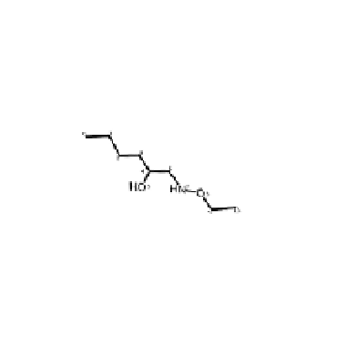 CCCCC(O)CNOCC